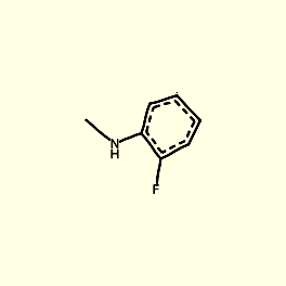 CNc1c[c]ccc1F